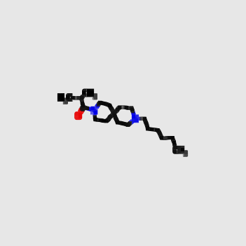 CCCCCCN1CCC2(CC1)CCN(C(=O)C(C)C)CC2